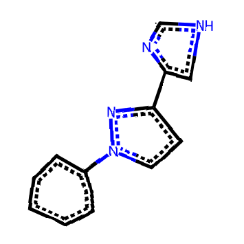 [c]1nc(-c2ccn(-c3ccccc3)n2)c[nH]1